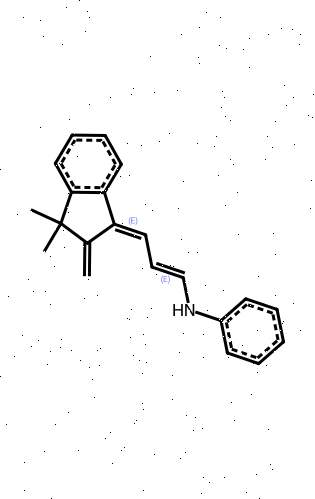 C=C1/C(=C\C=C\Nc2ccccc2)c2ccccc2C1(C)C